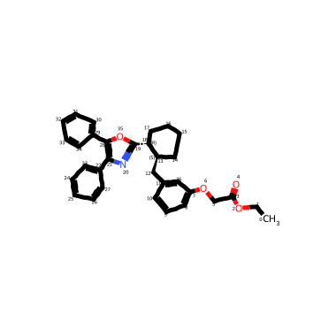 CCOC(=O)COc1cccc(C[C@@H]2CCCC[C@H]2c2nc(-c3ccccc3)c(-c3ccccc3)o2)c1